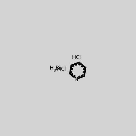 Cl.Cl.[BiH3].c1ccncc1